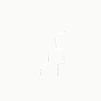 O=Cc1ccc2c(c1)COCC2